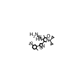 Cc1ccc(N(C)C)cc1-c1cc(-c2cn(C(C3CC3)C3CC3)c(=O)c(C)c2N/N=C/N)nn1C